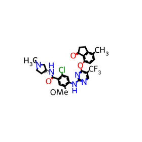 COc1cc(C(=O)N[C@@H]2CCN(C)C2)c(Cl)cc1Nc1ncc(C(F)(F)F)c(Oc2ccc(C)c3c2C(=O)CC3)n1